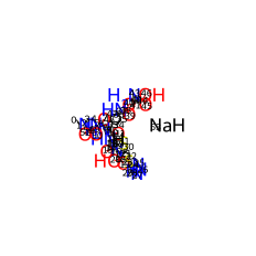 CCN1CCN(C(=O)N[C@@H](C(=O)N[C@@H]2C(=O)N3C(C(=O)O)=C(CSc4nnnn4C)CS[C@H]23)c2ccc(NC(=O)OC[C@@H](N)C(=O)O)cc2)C(=O)C1=O.[NaH]